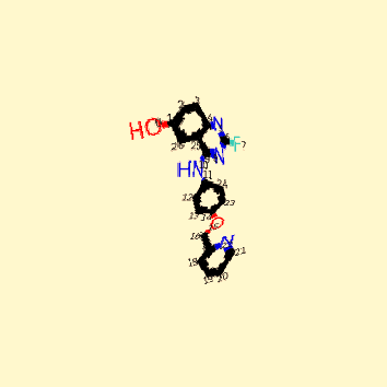 Oc1ccc2nc(F)nc(Nc3ccc(OCc4ccccn4)cc3)c2c1